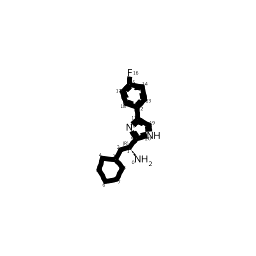 N[C@H](CC1CCCCC1)c1nc(-c2ccc(F)cc2)c[nH]1